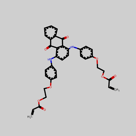 C=CC(=O)OCCOc1ccc(Nc2ccc(Nc3ccc(OCCOC(=O)C=C)cc3)c3c2C(=O)c2ccccc2C3=O)cc1